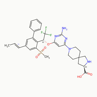 C/C=C/c1cc(-c2ccccc2)c([C@@H](Oc2cc(N3CCC4(CC3)CN[C@@H](C(=O)O)C4)nc(N)n2)C(F)(F)F)c(S(C)(=O)=O)c1